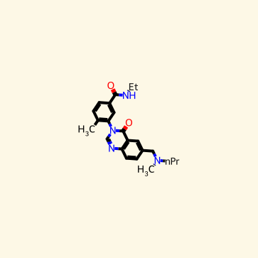 CCCN(C)Cc1ccc2ncn(-c3cc(C(=O)NCC)ccc3C)c(=O)c2c1